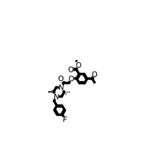 COC(=O)c1cc(C(C)=O)ccc1OCC(=O)N1C[C@H](C)N(Cc2ccc(F)cc2)C[C@H]1C